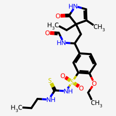 CCCNC(=S)NS(=O)(=O)c1cc(C(CC2(CC)C(=O)NC=C2C)NC=O)ccc1OCC